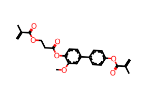 C=C(C)C(=O)OCCC(=O)Oc1ccc(-c2ccc(OC(=O)C(=C)C)cc2)cc1OC